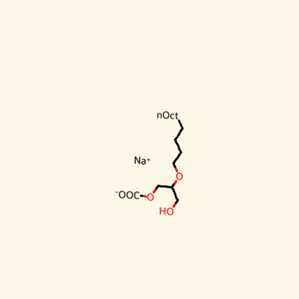 CCCCCCCCCCCCOC(CO)COC(=O)[O-].[Na+]